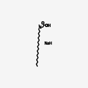 CCCCCCCCCCCCCCCCCCN(C)CC(=O)O.[NaH]